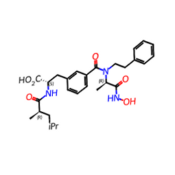 CC(C)C[C@@H](C)C(=O)N[C@@H](Cc1cccc(C(=O)N(CCc2ccccc2)[C@H](C)C(=O)NO)c1)C(=O)O